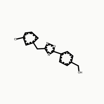 OCc1ccc(-c2nc(Cc3cccc(Cl)c3)no2)cc1